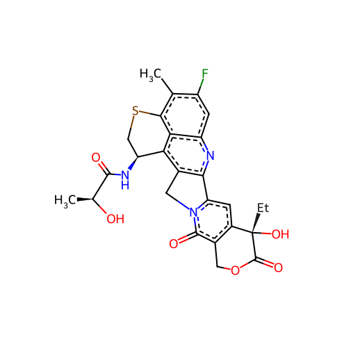 CC[C@@]1(O)C(=O)OCc2c1cc1n(c2=O)Cc2c-1nc1cc(F)c(C)c3c1c2[C@@H](NC(=O)[C@H](C)O)CS3